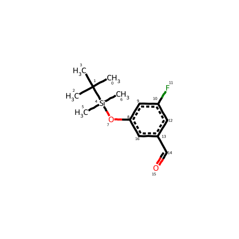 CC(C)(C)[Si](C)(C)Oc1cc(F)cc(C=O)c1